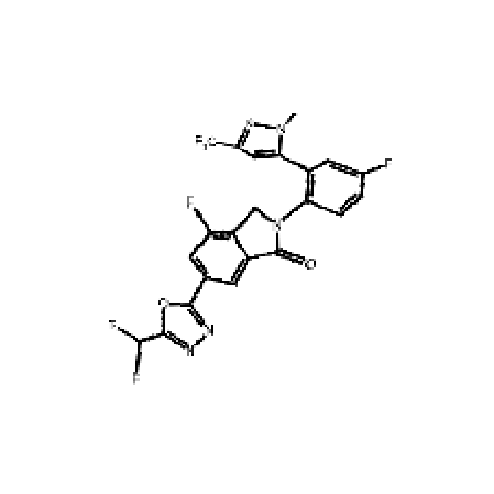 Cn1nc(C(F)(F)F)cc1-c1cc(F)ccc1N1Cc2c(F)cc(-c3nnc(C(F)F)o3)cc2C1=O